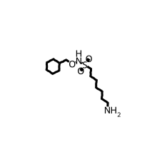 NCCCCCCCS(=O)(=O)NOCC1CCCCC1